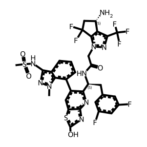 Cn1nc(NS(C)(=O)=O)c2cccc(-c3cc4sc(O)nc4nc3[C@H](Cc3cc(F)cc(F)c3)NC(=O)Cn3nc(C(F)(F)F)c4c3C(F)(F)C[C@@H]4N)c21